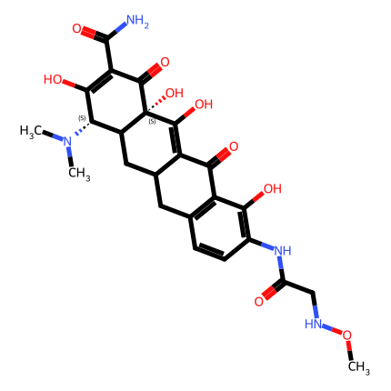 CONCC(=O)Nc1ccc2c(c1O)C(=O)C1=C(O)[C@]3(O)C(=O)C(C(N)=O)=C(O)[C@@H](N(C)C)C3CC1C2